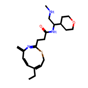 C=C1/C=C\C(CC)=C/CS/C(CCC(=O)NC(CNC)C2CCOCC2)=N\1